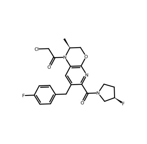 C[C@H]1COc2nc(C(=O)N3CC[C@@H](F)C3)c(Cc3ccc(F)cc3)cc2N1C(=O)CCl